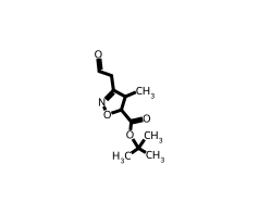 CC1C(CC=O)=NOC1C(=O)OC(C)(C)C